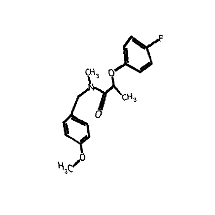 COc1ccc(CN(C)C(=O)C(C)Oc2ccc(F)cc2)cc1